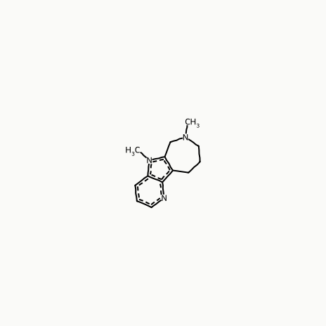 CN1CCCc2c(n(C)c3cccnc23)C1